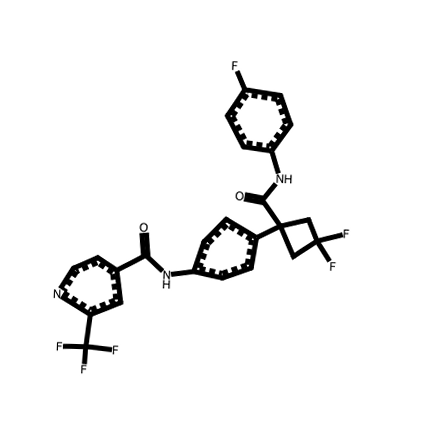 O=C(Nc1ccc(C2(C(=O)Nc3ccc(F)cc3)CC(F)(F)C2)cc1)c1ccnc(C(F)(F)F)c1